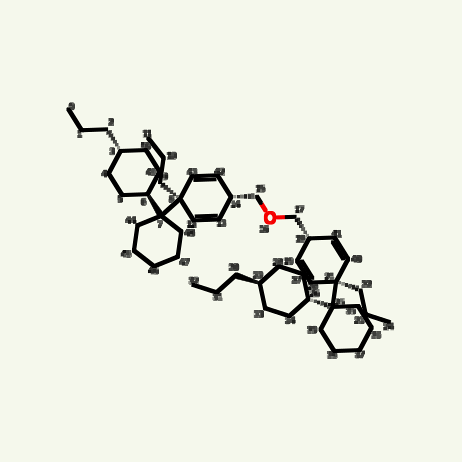 CCC[C@H]1CC[C@H](C2([C@]3(CCC)C=C[C@@H](COC[C@H]4C=C[C@](CCC)(C5([C@H]6CC[C@H](CCC)CC6)CCCCC5)C=C4)C=C3)CCCCC2)CC1